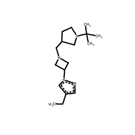 CCc1cnn(C2CN(CC3CCN(C(C)(C)C)C3)C2)c1